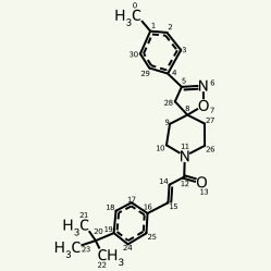 Cc1ccc(C2=NOC3(CCN(C(=O)C=Cc4ccc(C(C)(C)C)cc4)CC3)C2)cc1